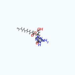 CCCCCCCCCCCC(=O)OC[C@H](CCO)Cn1cnc2c(=O)[nH]c(N)nc21